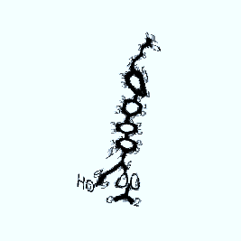 C=C(C)C(=O)OCC(CCO)C1CCC(C2CCC(C3CCC(c4ccc(CCCCC)cc4)CC3)CC2)CC1